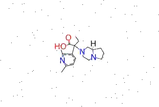 CCC(C(=O)O)(c1ccc(C)nc1C)N1CCN2CCC[C@@H]2C1